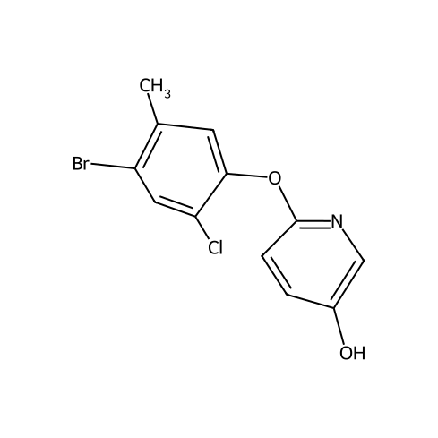 Cc1cc(Oc2ccc(O)cn2)c(Cl)cc1Br